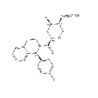 [N-]=[N+]=N[C@H]1CO[C@@H](C(=O)N2CCc3ccccc3[C@@H]2c2ccc(F)cc2)C[C@H]1F